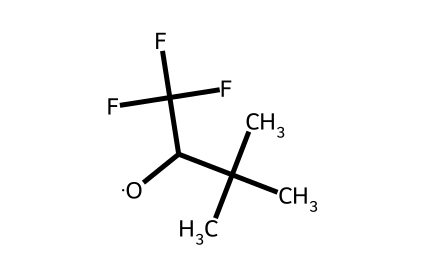 CC(C)(C)C([O])C(F)(F)F